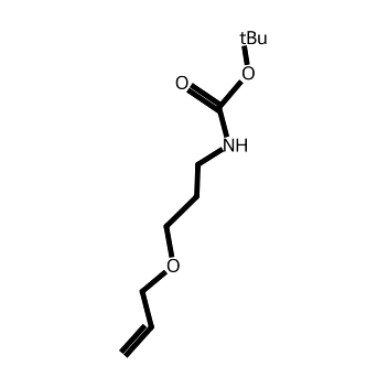 C=CCOCCCNC(=O)OC(C)(C)C